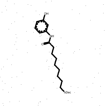 CCCCCCCCCCCCCCCCCCC(=O)Nc1cccc(O)c1